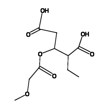 CCC(C(=O)O)C(CC(=O)O)OC(=O)COC